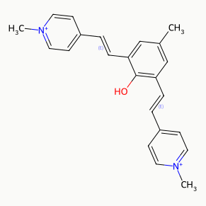 Cc1cc(/C=C/c2cc[n+](C)cc2)c(O)c(/C=C/c2cc[n+](C)cc2)c1